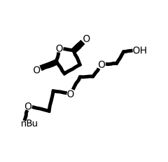 CCCCOCCOCCOCCO.O=C1CCC(=O)O1